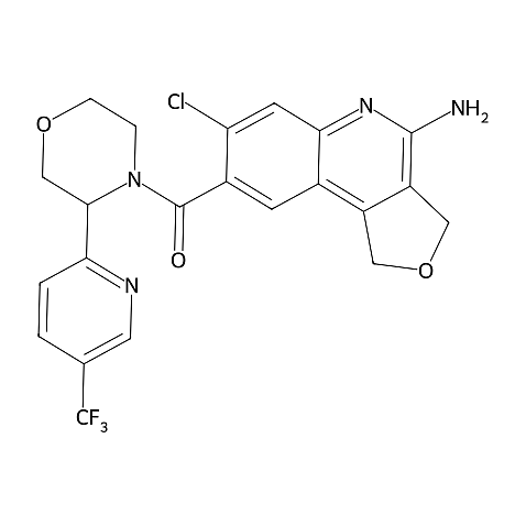 Nc1nc2cc(Cl)c(C(=O)N3CCOCC3c3ccc(C(F)(F)F)cn3)cc2c2c1COC2